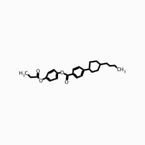 CCCCC1CCC(c2ccc(C(=O)Oc3ccc(OC(=O)CC)cc3)cc2)CC1